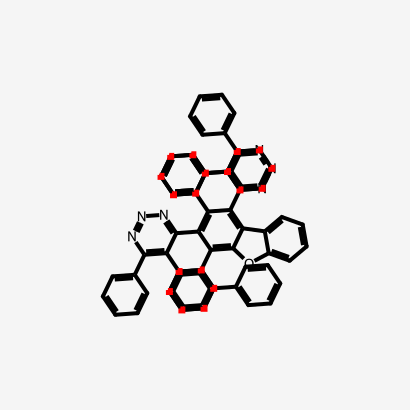 c1ccc(-c2ccccc2-c2c(-c3nnnc(-c4ccccc4)c3-c3ccccc3)c(-c3ccccc3-c3ccccc3)c3oc4ccccc4c3c2-c2nnnc(-c3ccccc3)c2-c2ccccc2)cc1